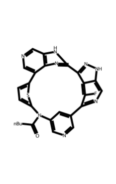 CCCCC(=O)n1c2cncc(c2)c2ncc3[nH]nc(c4nc5c(cncc5c5ccc1s5)[nH]4)c3c2F